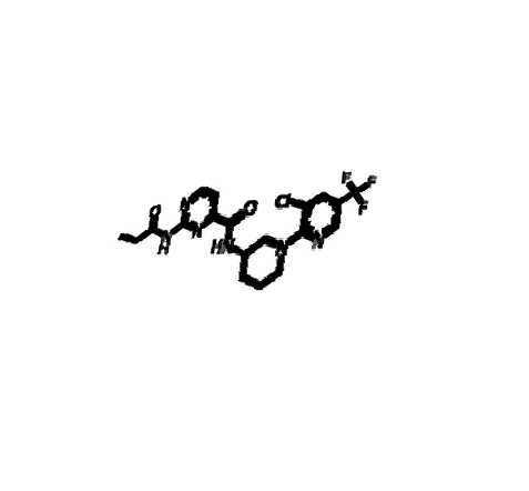 CCC(=O)Nc1nccc(C(=O)N[C@@H]2CCCN(c3ncc(C(F)(F)F)cc3Cl)C2)n1